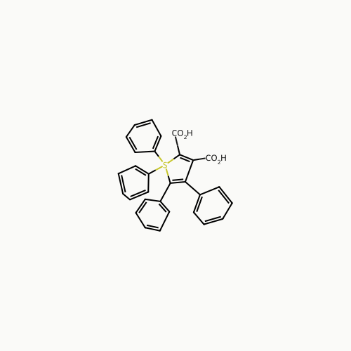 O=C(O)C1=C(C(=O)O)S(c2ccccc2)(c2ccccc2)C(c2ccccc2)=C1c1ccccc1